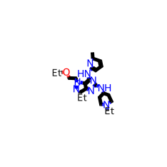 CCOCCn1nc(CC)c2nc(NC3CCN(CC)CC3)nc(Nc3cccc(C)n3)c21